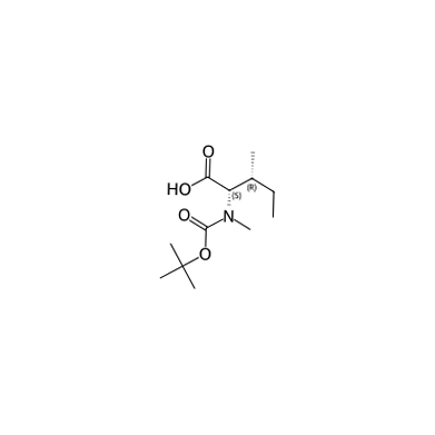 CC[C@@H](C)[C@@H](C(=O)O)N(C)C(=O)OC(C)(C)C